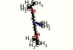 CC(C)CCC(COC(=O)CCCCCCCN(CCCCCCCC(=O)OCC(CCC(C)C)C(C)C)CCCCN(C)C)C(C)C